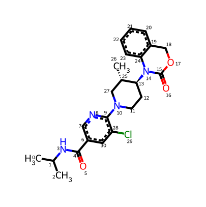 CC(C)NC(=O)c1cnc(N2CC[C@H](N3C(=O)OCc4ccccc43)[C@@H](C)C2)c(Cl)c1